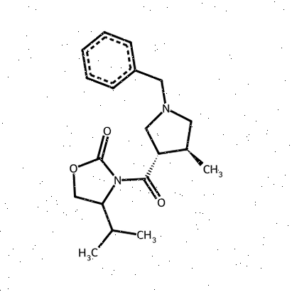 CC(C)C1COC(=O)N1C(=O)[C@@H]1CN(Cc2ccccc2)C[C@H]1C